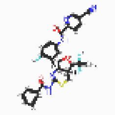 CC(F)(F)C1OC[C@]2(Cc3cc(NC(=O)c4ccc(C#N)cn4)ccc3F)N=C(NC(=O)c3ccccc3)SC[C@H]12